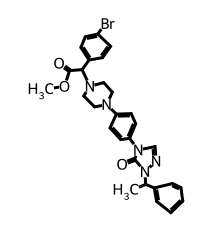 COC(=O)C(c1ccc(Br)cc1)N1CCN(c2ccc(-n3cnn(C(C)c4ccccc4)c3=O)cc2)CC1